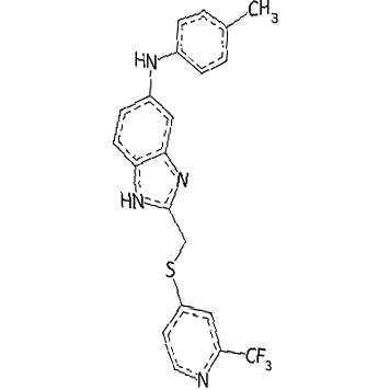 Cc1ccc(Nc2ccc3[nH]c(CSc4ccnc(C(F)(F)F)c4)nc3c2)cc1